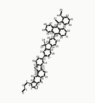 C=C/C=C\c1coc2cc3ccc4c5cc(-c6ccc7c(c6)C(C)(C)c6cc(-c8c9ccccc9c(C(=C)c9ccccc9C=C)c9ccccc89)ccc6-7)ccc5sc4c3cc12